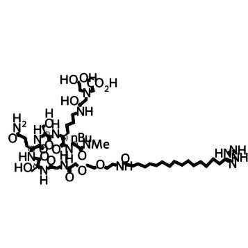 CCCC[C@H](NC(=O)[C@H](CCCCNC(O)CN(CC(=O)O)CC(O)O)NC(=O)[C@H](CO)NC(=O)[C@H](CCC(N)=O)NC(=O)[C@H](CO)NC(=O)CNC(=O)COCCOCCNC(=O)CCCCCCCCCCCCCCCC1=NNNN1)C(=O)NC